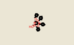 OCO[C@H]1O[C@H](COCc2ccccc2)[C@@H](OCc2ccccc2)[C@H](OCc2ccccc2)[C@@H]1OCc1ccccc1